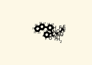 CN1C(=O)C(c2ccccc2)(c2cccc(-c3ccc4ccccc4c3)c2)NC1(N)OC(=O)C(F)(F)F